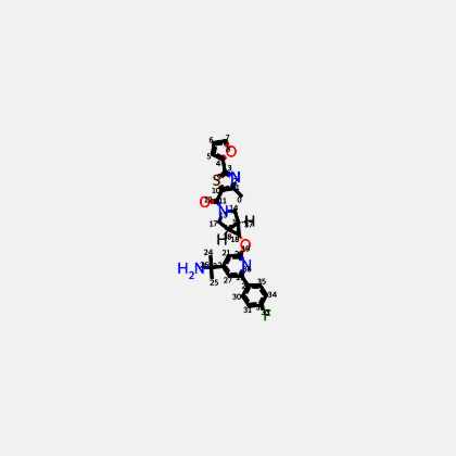 Cc1nc(-c2ccco2)sc1C(=O)N1C[C@@H]2[C@H](C1)[C@@H]2Oc1cc(C(C)(C)N)cc(-c2ccc(F)cc2)n1